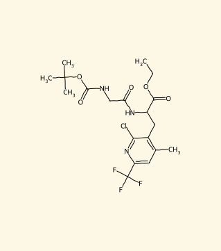 CCOC(=O)C(Cc1c(C)cc(C(F)(F)F)nc1Cl)NC(=O)CNC(=O)OC(C)(C)C